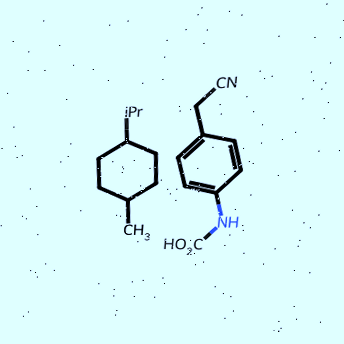 CC1CCC(C(C)C)CC1.N#CCc1ccc(NC(=O)O)cc1